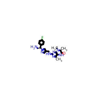 Cc1nc(NCc2cnn([C@@H](CN)c3ccc(F)cc3)c2)nc2c1NC(=O)[C@H](C)N2C